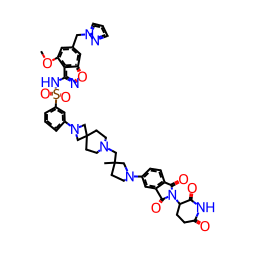 COc1cc(Cn2cccn2)cc2onc(NS(=O)(=O)c3cccc(N4CC5(CCN(CC6(C)CCN(c7ccc8c(c7)C(=O)N(C7CCC(=O)NC7=O)C8=O)C6)CC5)C4)c3)c12